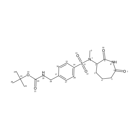 CN(C1CCCC(=O)NC1=O)S(=O)(=O)c1ccc(CNC(=O)OC(C)(C)C)cc1